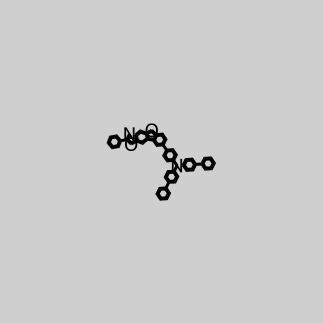 c1ccc(-c2ccc(N(c3ccc(-c4ccccc4)cc3)c3ccc(-c4ccc5oc6cc7nc(-c8ccccc8)oc7cc6c5c4)cc3)cc2)cc1